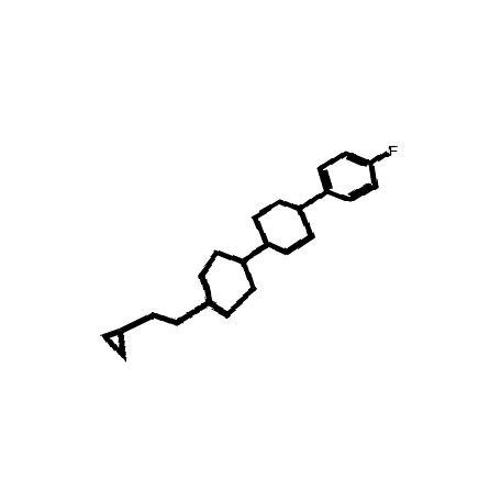 Fc1ccc(C2CCC(C3CCC(CCC4CC4)CC3)CC2)cc1